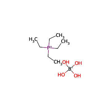 CC[P+](CC)(CC)CC.O[B-](O)(O)O